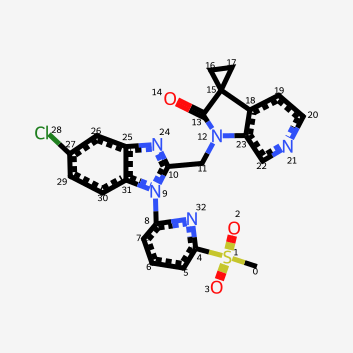 CS(=O)(=O)c1cccc(-n2c(CN3C(=O)C4(CC4)c4ccncc43)nc3cc(Cl)ccc32)n1